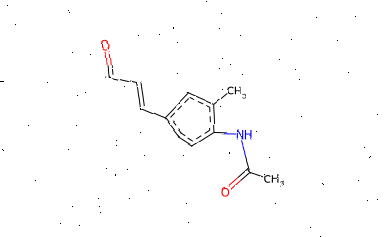 CC(=O)Nc1ccc(/C=C/[C]=O)cc1C